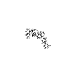 CN(SONc1ccc(CN2CCN(c3ccccc3)CC2)cc1)c1cccc2ccccc12.S